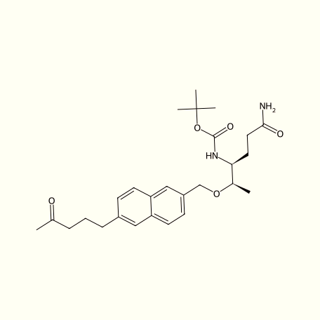 CC(=O)CCCc1ccc2cc(CO[C@H](C)[C@H](CCC(N)=O)NC(=O)OC(C)(C)C)ccc2c1